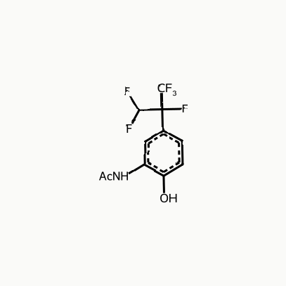 CC(=O)Nc1cc(C(F)(C(F)F)C(F)(F)F)ccc1O